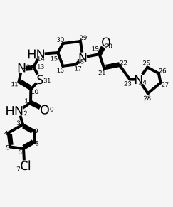 O=C(Nc1ccc(Cl)cc1)c1cnc(NC2CCN(C(=O)C=CCN3CCCC3)CC2)s1